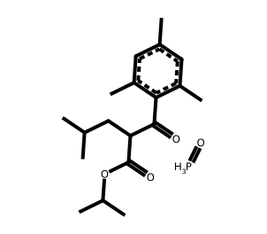 Cc1cc(C)c(C(=O)C(CC(C)C)C(=O)OC(C)C)c(C)c1.O=[PH3]